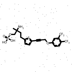 CC(N)(CCc1ccc(C#CCOc2ccc(C(F)(F)F)c(C(F)(F)F)c2)s1)COP(=O)(O)O